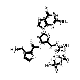 NCc1ccsc1C(=O)C[C@@H]1C[C@H](n2cnc3c(=O)[nH]c(N)nc32)OC1COP(=O)(O)OP(=O)(O)OP(=O)(O)O